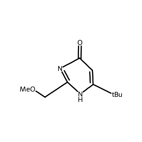 COCc1nc(=O)cc(C(C)(C)C)[nH]1